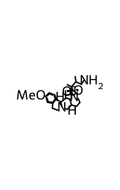 COc1ccc2c(c1)CCN1C[C@@H]3CCCN(S(=O)(=O)C(C)C(C)CN)[C@@H]3C[C@@H]21